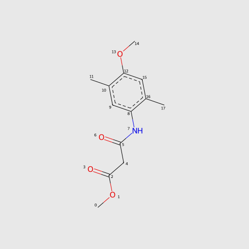 COC(=O)CC(=O)Nc1cc(C)c(OC)cc1C